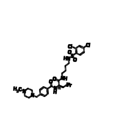 CC(C)C[C@@H](NC(=O)c1ccc(CN2CCN(C)CC2)cc1)C(=O)NCCCCNS(=O)(=O)c1ccc(Cl)cc1Cl